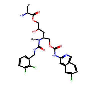 CC(C)[C@H](N)C(=O)OCC(O)C[C@@H](COC(=O)Nc1cc2cc(F)ccc2cn1)N(C)C(=O)NCc1cccc(F)c1Cl